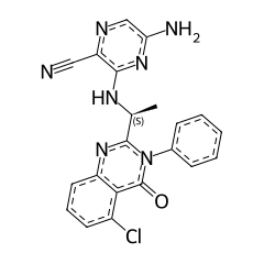 C[C@H](Nc1nc(N)cnc1C#N)c1nc2cccc(Cl)c2c(=O)n1-c1ccccc1